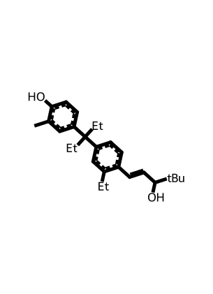 CCc1cc(C(CC)(CC)c2ccc(O)c(C)c2)ccc1C=CC(O)C(C)(C)C